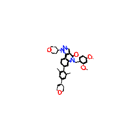 COc1ccc(Cn2c(=O)c3cnn(C4CCOCC4)c3c3ccc(-c4c(C)cc(C5=CCOCC5)cc4C)cc32)c(OC)c1